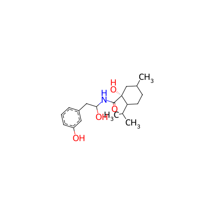 CC1CCC(C(C)C)[C@@](O)(C(=O)NC(O)Cc2cccc(O)c2)C1